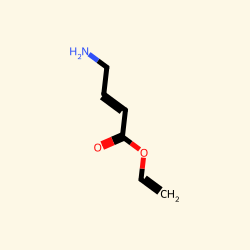 C=COC(=O)C=CCN